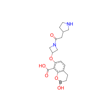 O=C(O)c1c(OC2CN(C(=O)CC3CCNC3)C2)ccc2c1OB(O)CC2